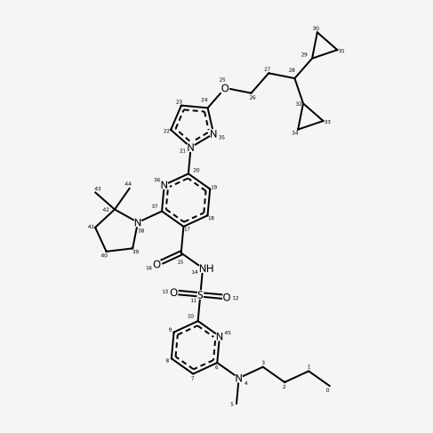 CCCCN(C)c1cccc(S(=O)(=O)NC(=O)c2ccc(-n3ccc(OCCC(C4CC4)C4CC4)n3)nc2N2CCCC2(C)C)n1